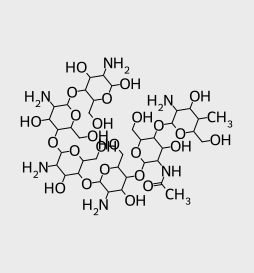 CC(=O)NC1C(OC2C(CO)OC(OC3C(CO)OC(OC4C(CO)OC(OC5C(CO)OC(O)C(N)C5O)C(N)C4O)C(N)C3O)C(N)C2O)OC(CO)C(OC2OC(CO)C(C)C(O)C2N)C1O